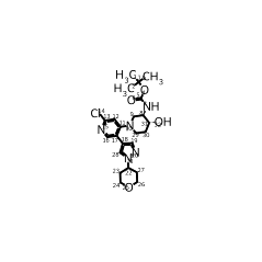 CC(C)(C)OC(=O)N[C@@H]1CN(c2cc(Cl)ncc2-c2cnn(C3CCOCC3)c2)CC[C@H]1O